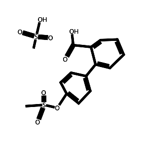 CS(=O)(=O)O.CS(=O)(=O)Oc1ccc(-c2ccccc2C(=O)O)cc1